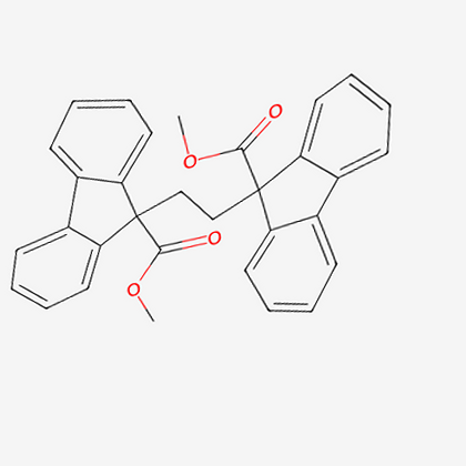 COC(=O)C1(CCC2(C(=O)OC)c3ccccc3-c3ccccc32)c2ccccc2-c2ccccc21